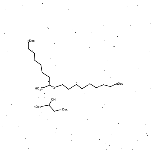 CCCCCCCCCCCC(O)CCCCCCCC.CCCCCCCCCCCCCCCCCCOC(CCCCCCCCCCCCCCCC)C(=O)O